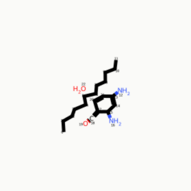 CCCCCCCCCCCC.NC1=CC(N)C(=C=O)C=C1.O